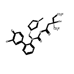 CN1CC[C@@H](CN(C(=O)OC(=O)C[C@](O)(CC(=O)O)C(=O)O)c2ccccc2-c2ccc(F)c(Cl)c2)C1